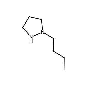 CCC[CH]N1CCCN1